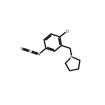 S=C=Nc1ccc(Cl)c(CN2CCCC2)c1